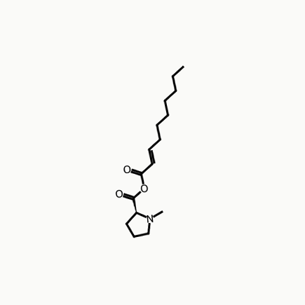 CCCCCCC/C=C/C(=O)OC(=O)[C@@H]1CCCN1C